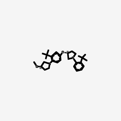 CO[C@@H]1CCN(c2ccc(O[C@@H]3CCN(c4ccccc4C(C)(C)C)C3)cc2C(C)(C)C)C1